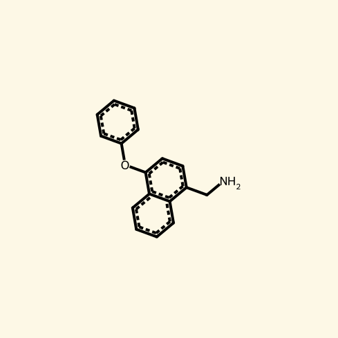 NCc1ccc(Oc2ccccc2)c2ccccc12